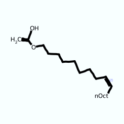 C=C(O)OCCCCCCCC/C=C\CCCCCCCC